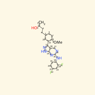 C=C(O)CCc1ccc(OC)c(-c2n[nH]c3nc(Nc4ccc(F)cc4F)ncc23)c1